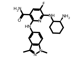 Cc1nn(C)c2ccc(Nc3nc(NC4CCCC[C@@H]4N)c(F)cc3C(N)=O)cc12